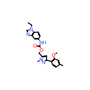 CCn1cnc2cc(NC(=O)OCc3cc(-c4ccc(C)cc4OC)nn3C)ccc21